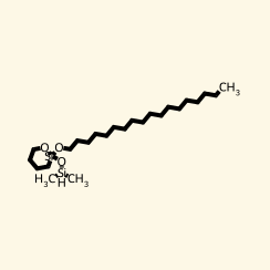 CCCCCCCCCCCCCCCCCCO[Si]1(O[SiH](C)C)CCCCO1